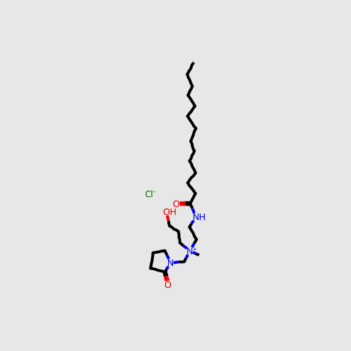 CCCCCCCCCCCCCC(=O)NCC[N+](C)(CCCO)CN1CCCC1=O.[Cl-]